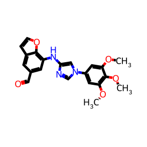 COc1cc(-n2cnc(Nc3cc(C=O)cc4ccoc34)c2)cc(OC)c1OC